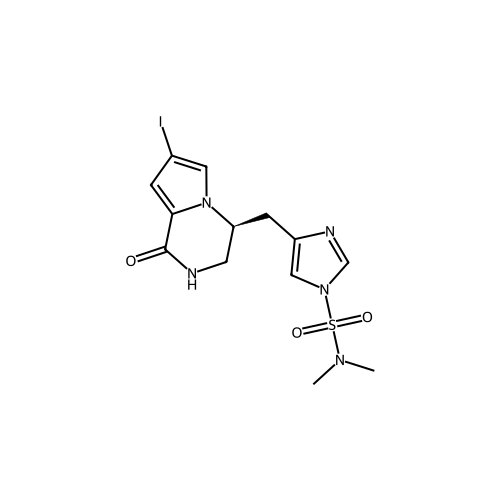 CN(C)S(=O)(=O)n1cnc(C[C@H]2CNC(=O)c3cc(I)cn32)c1